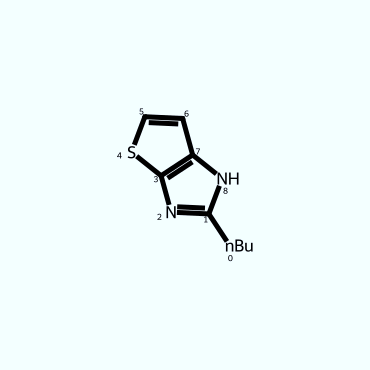 CCCCc1nc2sccc2[nH]1